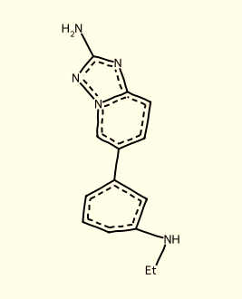 CCNc1cccc(-c2ccc3nc(N)nn3c2)c1